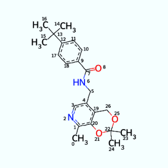 Cc1ncc(CNC(=O)c2ccc(C(C)(C)C)cc2)c2c1OC(C)(C)OC2